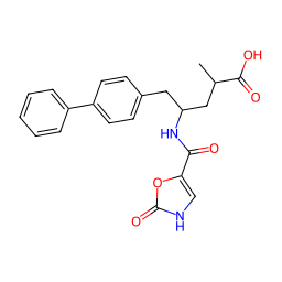 CC(CC(Cc1ccc(-c2ccccc2)cc1)NC(=O)c1c[nH]c(=O)o1)C(=O)O